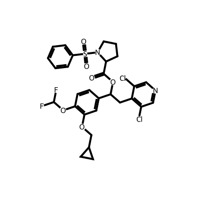 O=C(OC(Cc1c(Cl)cncc1Cl)c1ccc(OC(F)F)c(OCC2CC2)c1)C1CCCN1S(=O)(=O)c1ccccc1